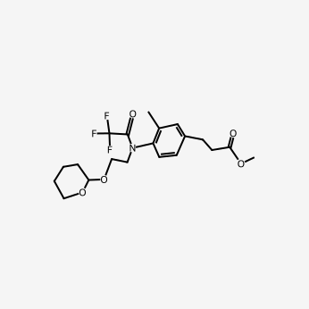 COC(=O)CCc1ccc(N(CCOC2CCCCO2)C(=O)C(F)(F)F)c(C)c1